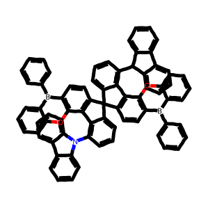 c1ccc(B2c3ccccc3Oc3c2ccc2c3-c3c(C4c5ccccc5-c5ccccc54)cccc3C23c2cccc(-n4c5ccccc5c5ccccc54)c2-c2c3ccc3c2Oc2ccccc2B3c2ccccc2)cc1